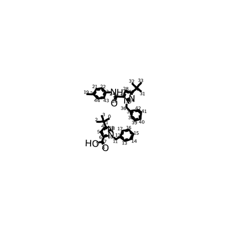 CC(C)(C)c1cc(C(=O)O)n(Cc2ccccc2)n1.Cc1ccc(NC(=O)c2cc(C(C)(C)C)nn2Cc2ccccc2)cc1